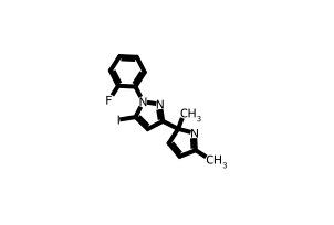 CC1=NC(C)(c2cc(I)n(-c3ccccc3F)n2)C=C1